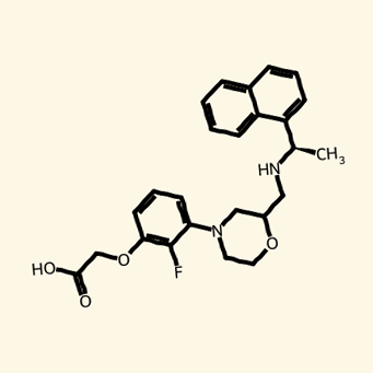 C[C@@H](NCC1CN(c2cccc(OCC(=O)O)c2F)CCO1)c1cccc2ccccc12